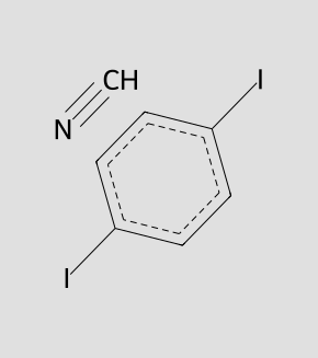 C#N.Ic1ccc(I)cc1